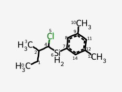 CCC(C)C(Cl)[SiH2]c1cc(C)cc(C)c1